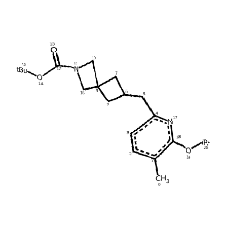 Cc1ccc(CC2CC3(C2)CN(C(=O)OC(C)(C)C)C3)nc1OC(C)C